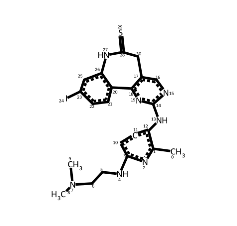 Cc1nc(NCCN(C)C)ccc1Nc1ncc2c(n1)-c1ccc(I)cc1NC(=S)C2